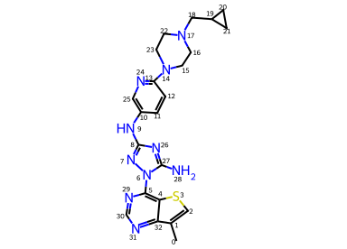 Cc1csc2c(-n3nc(Nc4ccc(N5CCN(CC6CC6)CC5)nc4)nc3N)ncnc12